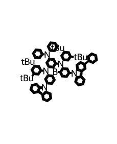 CC(C)(C)c1cc(N2c3cc(-n4c5ccccc5c5ccccc54)ccc3B3c4ccc(-n5c6ccccc6c6cc(-c7ccccc7)ccc65)cc4N(c4cc(C(C)(C)C)cc(C(C)(C)C)c4)c4cc(N(c5ccccc5)c5ccccc5)cc2c43)cc(C(C)(C)C)c1